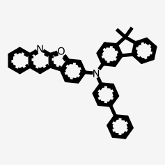 CC1(C)c2ccccc2-c2cc(N(c3ccc(-c4ccccc4)cc3)c3ccc4c(c3)oc3nc5ccccc5cc34)ccc21